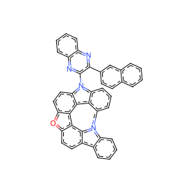 c1ccc2cc(-c3nc4ccccc4nc3-n3c4ccc5oc6ccc7c8ccccc8n8c9cccc3c9c4c5c6c78)ccc2c1